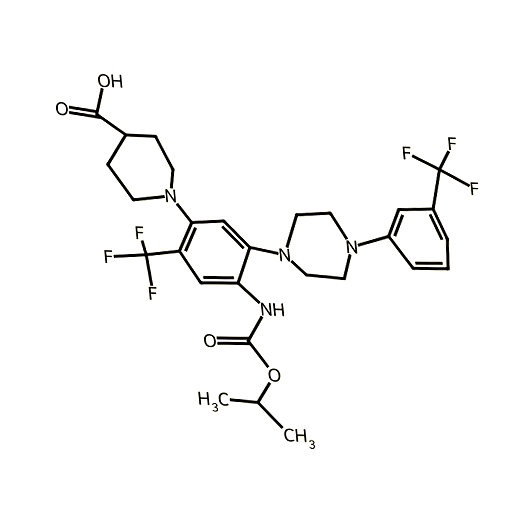 CC(C)OC(=O)Nc1cc(C(F)(F)F)c(N2CCC(C(=O)O)CC2)cc1N1CCN(c2cccc(C(F)(F)F)c2)CC1